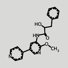 COc1ncc(-c2ccncc2)cc1NC(=O)C(O)Cc1ccccc1